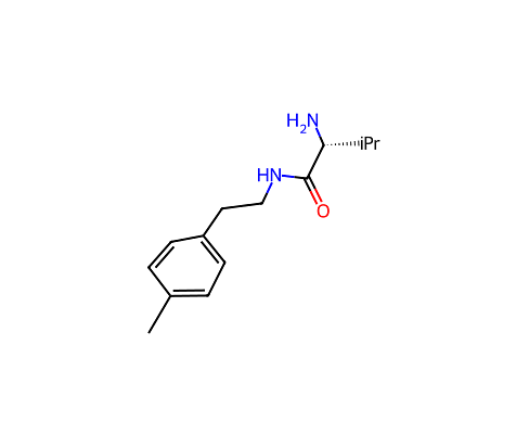 Cc1ccc(CCNC(=O)[C@H](N)C(C)C)cc1